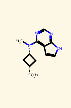 CN(c1ncnc2[nH]ccc12)[C@H]1C[C@@H](C(=O)O)C1